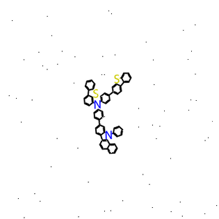 c1ccc(-n2c3cc(-c4ccc(N(c5ccc(-c6ccc7c(c6)sc6ccccc67)cc5)c5cccc6c5sc5ccccc56)cc4)ccc3c3ccc4ccccc4c32)cc1